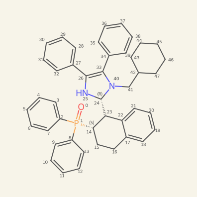 O=P(c1ccccc1)(c1ccccc1)[C@H]1CCc2ccccc2C1[C@@H]1NC(c2ccccc2)=C(c2ccccc2)N1CC1CCCCC1